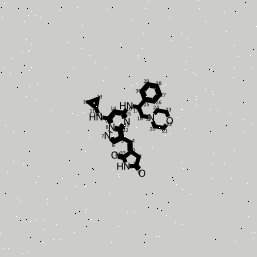 O=C1CC(=Cc2cnn3c(NC4CC4)cc(NC(CN4CCOCC4)c4ccccc4)nc23)C(=O)N1